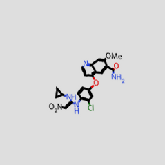 COc1cc2nccc(Oc3ccc(N/C(=C/[N+](=O)[O-])NC4CC4)c(Cl)c3)c2cc1C(N)=O